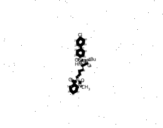 Cn1c(=O)n(CCCC[C@@H](NS(=O)(=O)c2ccc(-c3ccc(Cl)cc3)cc2)C(=O)OC(C)(C)C)c(=O)c2ccccc21